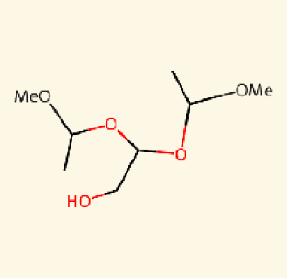 COC(C)OC(CO)OC(C)OC